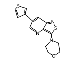 c1cc(-c2cnc3c(N4CCOCC4)snc3c2)cs1